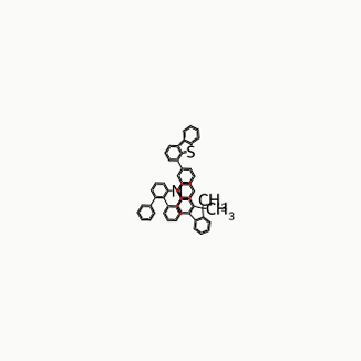 CC1(C)c2ccccc2-c2ccc(N(c3cccc(-c4cccc5c4sc4ccccc45)c3)c3cccc(-c4ccccc4)c3-c3ccccc3-c3ccccc3)cc21